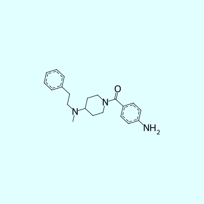 CN(CCc1ccccc1)C1CCN(C(=O)c2ccc(N)cc2)CC1